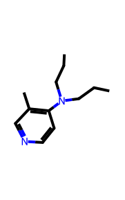 CCCN(CCC)c1ccncc1C